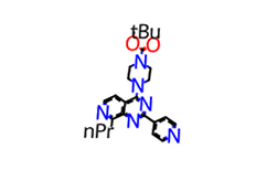 CCCc1nccc2c(N3CCN(C(=O)OC(C)(C)C)CC3)nc(-c3ccncc3)nc12